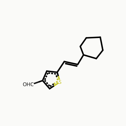 O=Cc1csc(C=CC2CCCCC2)c1